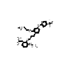 CCCCOc1cc(Oc2ccc(C(F)(F)F)cn2)ccc1CCCOc1c(CC(=O)O)cccc1OC